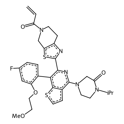 C=CC(=O)N1CCc2nc(-c3nc(N4CCN(C(C)C)C(=O)C4)c4ccsc4c3-c3ccc(F)cc3OCCOC)sc2C1